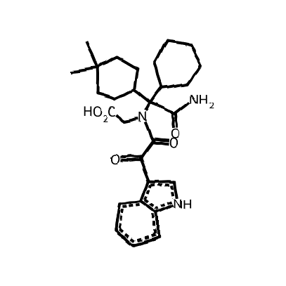 CC1(C)CCC(C(C(N)=O)(C2CCCCC2)N(CC(=O)O)C(=O)C(=O)c2c[nH]c3ccccc23)CC1